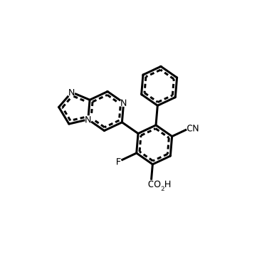 N#Cc1cc(C(=O)O)c(F)c(-c2cn3ccnc3cn2)c1-c1ccccc1